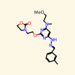 COCCN(C)c1cc(NN=Cc2cccc(C)c2)nc(OCCN2CCOC2=O)n1